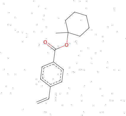 C=Cc1ccc(C(=O)OC2(C)CCCCC2)cc1